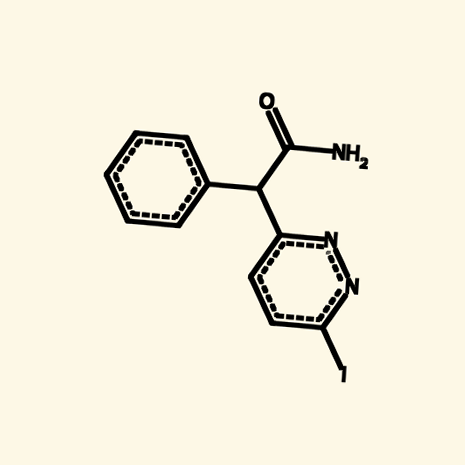 NC(=O)C(c1ccccc1)c1ccc(I)nn1